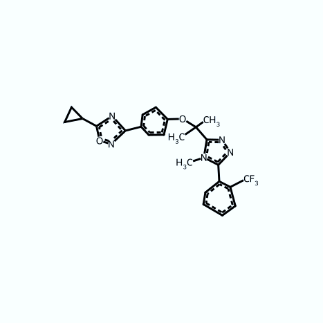 Cn1c(-c2ccccc2C(F)(F)F)nnc1C(C)(C)Oc1ccc(-c2noc(C3CC3)n2)cc1